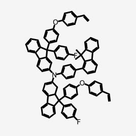 C=Cc1ccc(Oc2ccc(C3(c4ccc(F)cc4)c4ccccc4-c4ccc(N(C5=CC=C6c7ccccc7C(c7ccc(F)cc7)(c7ccc(Oc8ccc(C=C)cc8)cc7)C6C5)c5ccc(-c6cccc7c6C(C)(C)c6ccccc6-7)cc5)cc43)cc2)cc1